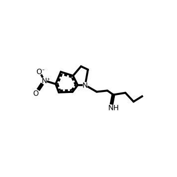 CCCC(=N)CCN1CCc2cc([N+](=O)[O-])ccc21